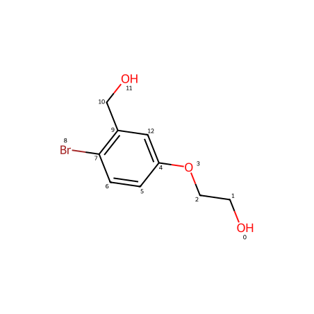 OCCOc1ccc(Br)c(CO)c1